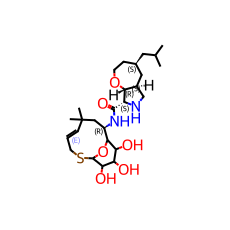 CC(C)C[C@@H]1CCO[C@@H]2[C@H](CN[C@@H]2C(=O)N[C@@H]2CC(C)(C)/C=C/CSC3OC2C(O)C(O)C3O)C1